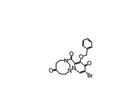 O=C1CCN2CN(CC1)n1cc(Br)c(=O)c(OCc3ccccc3)c1C2=O